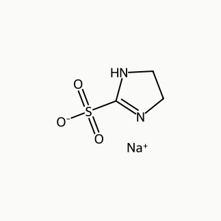 O=S(=O)([O-])C1=NCCN1.[Na+]